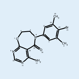 Cc1cc(N2CCOc3ncnc(N)c3C2=O)cc(C)c1Br